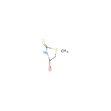 C.O=C1CSC(=S)N1